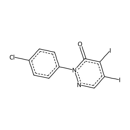 O=c1c(I)c(I)cnn1-c1ccc(Cl)cc1